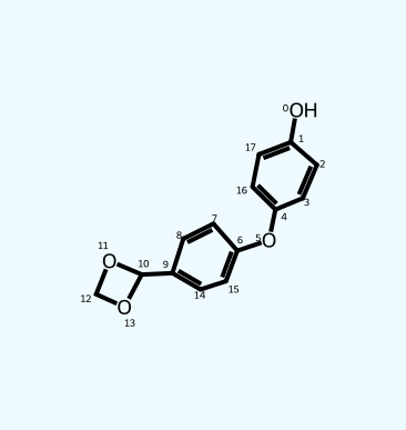 Oc1ccc(Oc2ccc(C3OCO3)cc2)cc1